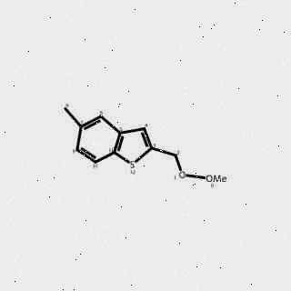 COOCc1cc2cc(C)ccc2s1